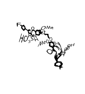 COc1cc2c(cc1OCCCOc1cc3c(cc1OC)C(=O)N1C=C(c4ccc(F)cc4)C[C@H]1[C@H](SOOO)N3)N[C@@H](S(=O)(=O)O)[C@@H]1CC(c3ccc(F)cc3)=CN1C2=O